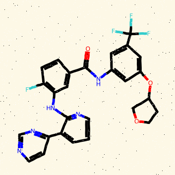 O=C(Nc1cc(OC2CCOC2)cc(C(F)(F)F)c1)c1ccc(F)c(Nc2ncccc2-c2ccncn2)c1